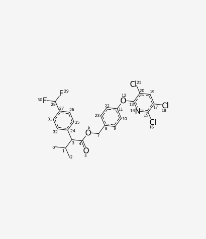 CC(C)C(C(=O)OCc1ccc(Oc2nc(Cl)c(Cl)cc2Cl)cc1)c1ccc(C(F)F)cc1